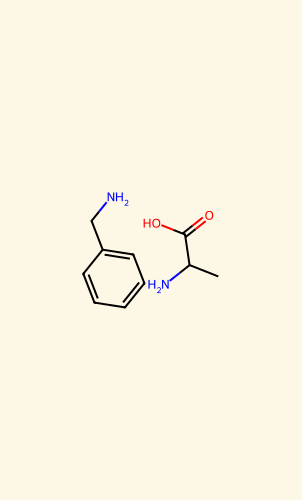 CC(N)C(=O)O.NCc1ccccc1